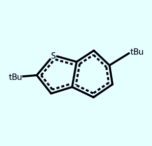 CC(C)(C)c1ccc2cc(C(C)(C)C)sc2c1